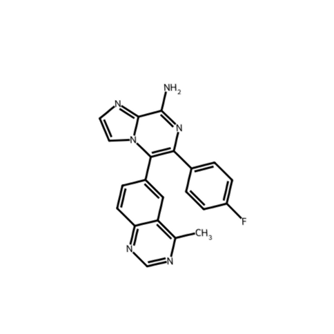 Cc1ncnc2ccc(-c3c(-c4ccc(F)cc4)nc(N)c4nccn34)cc12